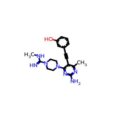 CNC(=N)N1CCN(c2nc(N)nc(C)c2C#Cc2cccc(O)c2)CC1